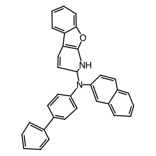 C1=CC(N(c2ccc(-c3ccccc3)cc2)c2ccc3ccccc3c2)Nc2oc3ccccc3c21